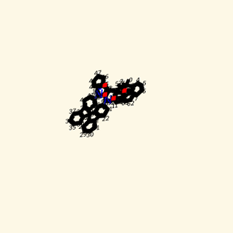 CC1(C)c2ccccc2-c2ccc(N(c3ccccc3)c3ccc4c(c3)C3(c5ccccc5-4)c4ccccc4-c4ccc(N(c5ccccc5)c5ccc6c(c5)C(C)(C)c5ccccc5-6)cc43)cc21